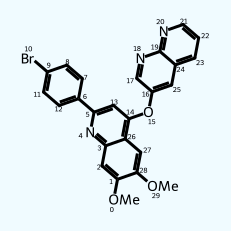 COc1cc2nc(-c3ccc(Br)cc3)cc(Oc3cnc4ncccc4c3)c2cc1OC